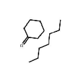 CCCCCCC.O=C1CCCCC1